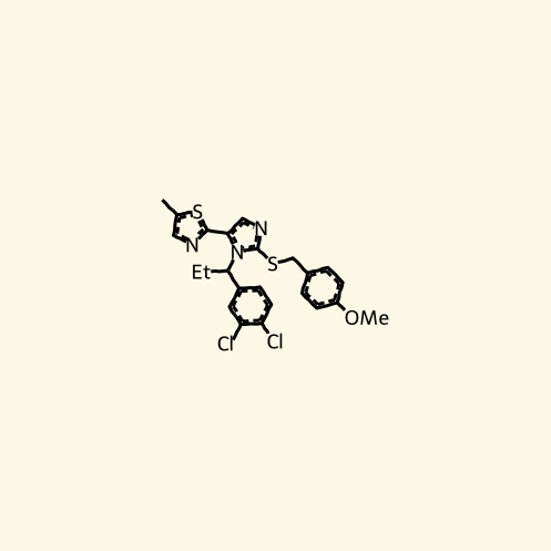 CCC(c1ccc(Cl)c(Cl)c1)n1c(-c2ncc(C)s2)cnc1SCc1ccc(OC)cc1